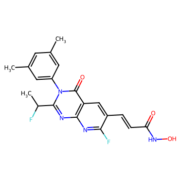 Cc1cc(C)cc(-n2c(C(C)F)nc3nc(F)c(/C=C/C(=O)NO)cc3c2=O)c1